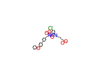 COC(=O)CCCCCNc1ccc(Cl)cc1C(=O)N(CCc1ccc(-c2ccc(Oc3ccccc3)cc2)cc1)C(=O)OC